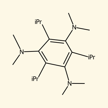 CC(C)c1c(N(C)C)c(C(C)C)c(N(C)C)c(C(C)C)c1N(C)C